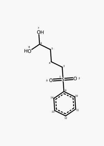 O=S(=O)(CCCC(O)O)c1ccccc1